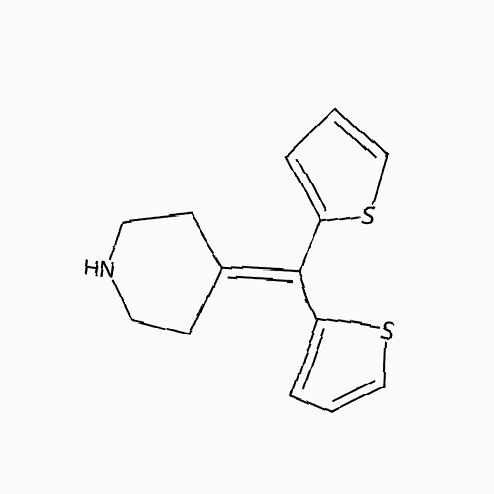 c1csc(C(=C2CCNCC2)c2cccs2)c1